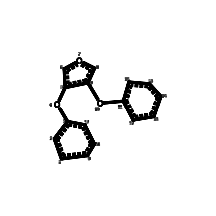 c1ccc(Oc2cocc2Oc2ccccc2)cc1